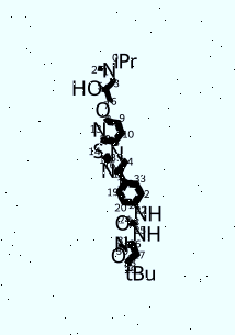 CC(C)N(C)CC(O)COc1ccc2c(n1)sc1nc(-c3ccc(NC(=O)Nc4cc(C(C)(C)C)on4)cc3)cn12